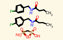 CCCC(=O)NCc1ccc(F)cc1.CCCC(=O)NCc1ccc(F)cc1.O=S(=O)(O)CS(=O)(=O)O